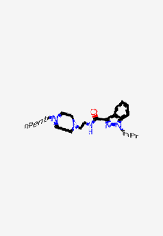 CCCCCN1CCN(CCNC(=O)c2nn(CCC)c3ccccc23)CC1